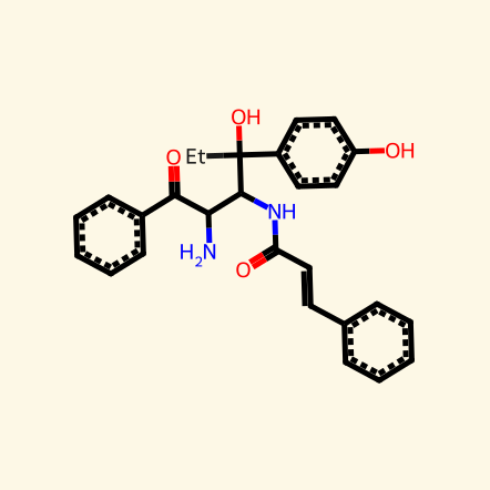 CCC(O)(c1ccc(O)cc1)C(NC(=O)C=Cc1ccccc1)C(N)C(=O)c1ccccc1